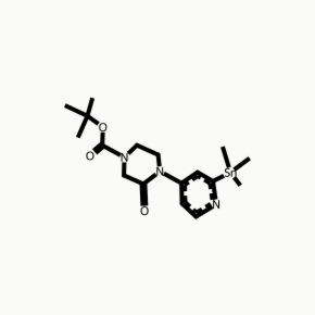 CC(C)(C)OC(=O)N1CCN(c2ccn[c]([Sn]([CH3])([CH3])[CH3])c2)C(=O)C1